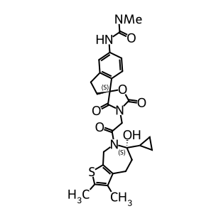 CNC(=O)Nc1ccc2c(c1)CC[C@]21OC(=O)N(CC(=O)N2Cc3sc(C)c(C)c3CC[C@]2(O)C2CC2)C1=O